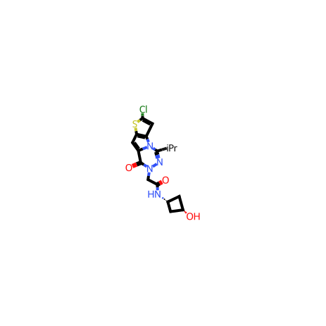 CC(C)c1nn(CC(=O)N[C@H]2C[C@@H](O)C2)c(=O)c2cc3sc(Cl)cc3n12